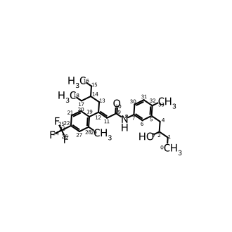 CCC(O)Cc1cc(NC(=O)/C=C(\CC(CC)CC)c2ccc(C(F)(F)F)cc2C)ccc1C